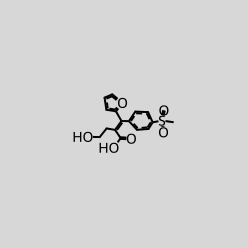 CS(=O)(=O)c1ccc(/C(=C(/CCO)C(=O)O)c2ccco2)cc1